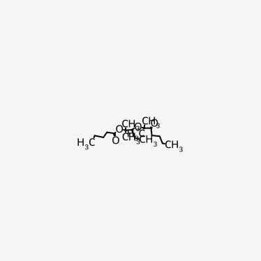 CCCCC(=O)OC(C)(C)C(CC)OC(C)(C)C(=O)CCCC